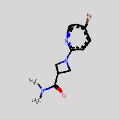 CN(C)C(=O)C1CN(c2ccc(Br)cn2)C1